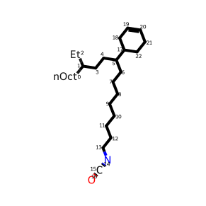 CCCCCCCCC(CC)CCC(CCCCCCCCN=C=O)C1CC=CCC1